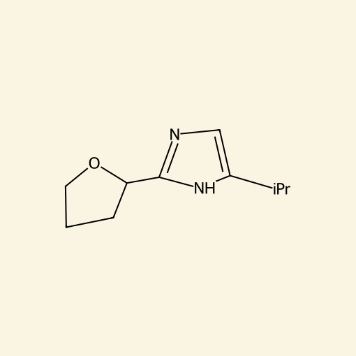 CC(C)c1cnc(C2CCCO2)[nH]1